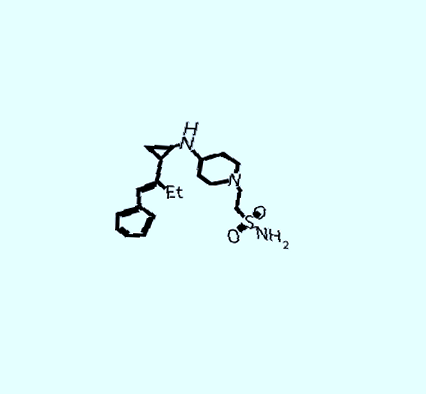 CC/C(=C\c1ccccc1)C1C[C@H]1NC1CCN(CCS(N)(=O)=O)CC1